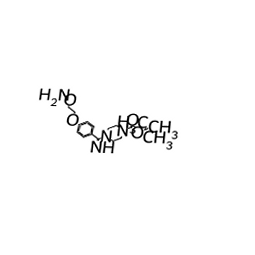 CC(C)(C)OC(=O)N1CCN(C(=N)c2ccc(OCCON)cc2)CC1